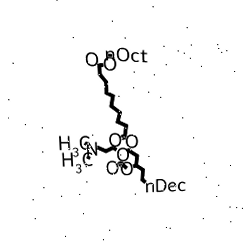 CCCCCCCCCCCCC(CCOC(=O)CCCCCCCCC(=O)OCCCCCCCC)OC(=O)OCCCN(C)C